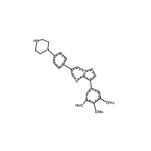 COc1cc(-c2cnn3cc(-c4ccc(N5CCNCC5)cc4)cnc23)cc(OC)c1OC